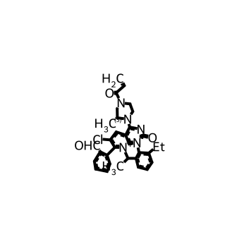 C=CC(=O)N1CCN(c2nc(=O)n3c4c2cc(Cl)c(-c2ccccc2C=O)[n+]4C(C)c2cccc(CC)c2-3)[C@@H](C)C1